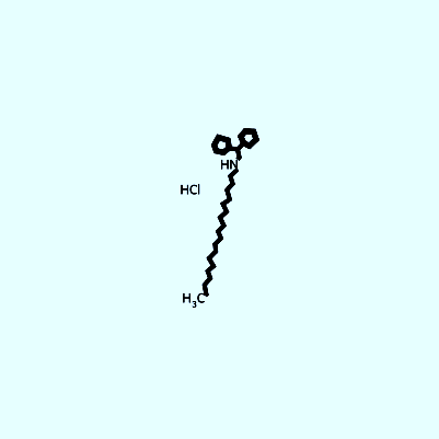 CCCCCCCCCCCCCCCCCCCCNCC(c1ccccc1)c1ccccc1.Cl